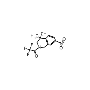 CC1(C)CN(C(=O)C(F)(F)F)Cc2cc([N+](=O)[O-])ccc21